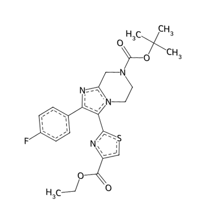 CCOC(=O)c1csc(-c2c(-c3ccc(F)cc3)nc3n2CCN(C(=O)OC(C)(C)C)C3)n1